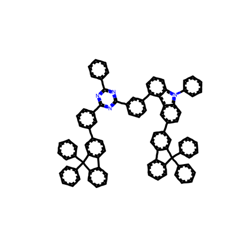 c1ccc(-c2nc(-c3cccc(-c4ccc5c(c4)C(c4ccccc4)(c4ccccc4)c4ccccc4-5)c3)nc(-c3cccc(-c4cccc5c4c4cc(-c6ccc7c(c6)C(c6ccccc6)(c6ccccc6)c6ccccc6-7)ccc4n5-c4ccccc4)c3)n2)cc1